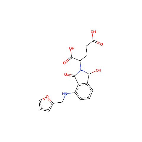 O=C(O)CCC(C(=O)O)N1C(=O)c2c(NCc3ccco3)cccc2C1O